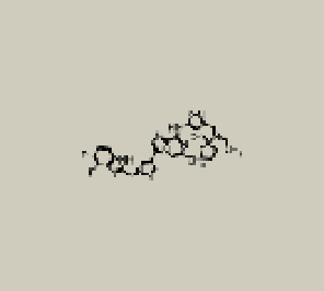 CCN(Cc1cc(Nc2nc(C)cn3c(-c4cnn(Cc5nc6c(F)c(F)ccc6[nH]5)c4)cnc23)sn1)C1(CO)CCCC1